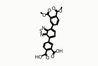 COC(=O)c1ccc(-c2ccc(-c3ccc(C(=O)O)c(C(=O)O)c3)c3nsnc23)cc1C(=O)OC